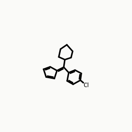 Clc1ccc(C(=C2C=CC=C2)C2CCCCC2)cc1